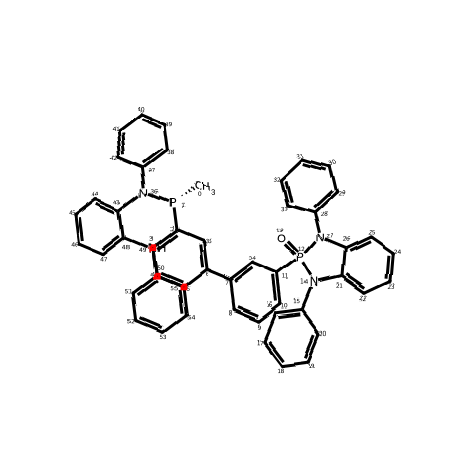 C[P@](c1cccc(-c2cccc(P3(=O)N(c4ccccc4)c4ccccc4N3c3ccccc3)c2)c1)N(c1ccccc1)c1ccccc1Nc1ccccc1